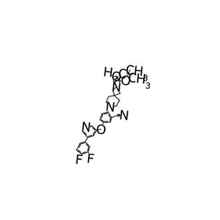 CC(C)(C)OC(=O)N1CC2(CCN(c3ccc(Oc4cncc(-c5ccc(F)c(F)c5)c4)cc3C#N)CC2)C1